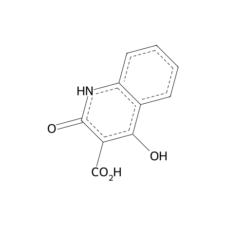 O=C(O)c1c(O)c2ccccc2[nH]c1=O